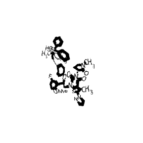 COc1ccc(F)cc1[C@H](Cn1c(=O)n([C@@H]2CCN(C)C2=O)c(=O)c2c(C)c(-n3cccn3)sc21)O[C@H]1CC[C@@H](CC(C)(C)[Si](O)(c2ccccc2)c2ccccc2)CC1